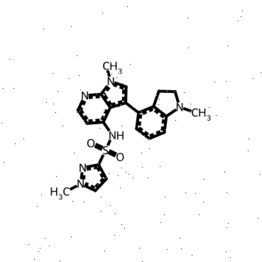 CN1CCc2c(-c3cn(C)c4nccc(NS(=O)(=O)c5ccn(C)n5)c34)cccc21